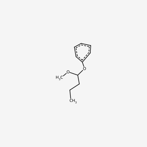 CCCC(OC)Oc1ccccc1